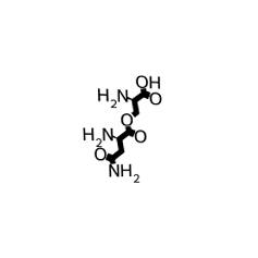 NC(=O)C[C@H](N)C(=O)OC[C@H](N)C(=O)O